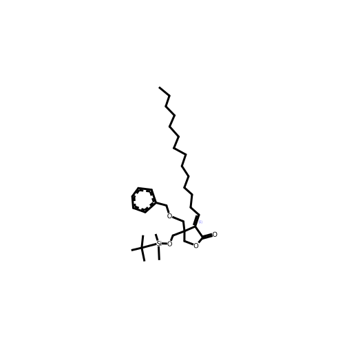 CCCCCCCCCCCCC/C=C1/C(=O)OCC1(COCc1ccccc1)CO[Si](C)(C)C(C)(C)C